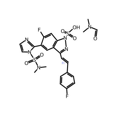 CN(C)C=O.CN(C)S(=O)(=O)n1ccnc1-c1cc2c(/C=C/c3ccc(F)cc3)nn(S(=O)(=O)O)c2cc1F